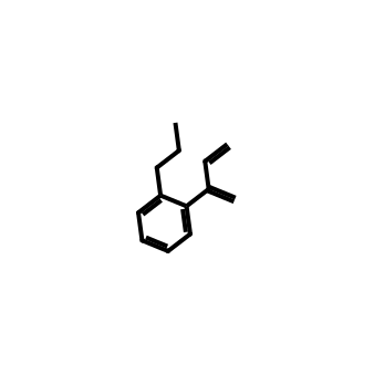 C=CC(=C)c1ccccc1CCC